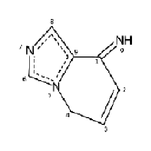 N=C1C=CCn2cncc21